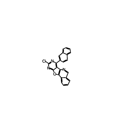 Clc1nc(-c2ccc3ccccc3c2)c2c(n1)oc1c3ccccc3cnc12